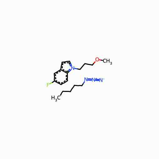 CCCCCN=[N+]=[N-].COCCCn1ccc2cc(F)ccc21